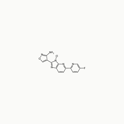 Nc1nocc1-c1nc2ccc(-c3ccc(F)cn3)nc2n1Cl